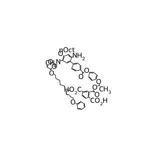 C=CC(=O)OCCCCCCCCCOc1ccccc1.CCCCCCCCOc1cc(N)c(-c2ccc(C(=O)Oc3ccc(OC(C)OC(=O)c4cc(C(=O)O)ccc4C(=O)O)cc3)cc2)cc1[N+](=O)[O-]